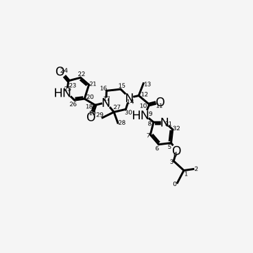 CC(C)COc1ccc(NC(=O)C(C)N2CCN(C(=O)c3ccc(=O)[nH]c3)C(C)(C)C2)nc1